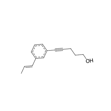 CC=Cc1cccc(C#CCCCO)c1